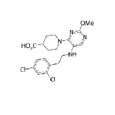 COc1ncc(NCCc2ccc(Cl)cc2Cl)c(N2CCC(C(=O)O)CC2)n1